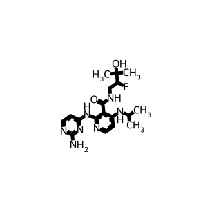 CC(C)Nc1ccnc(Nc2ccnc(N)n2)c1C(=O)NCC(F)C(C)(C)O